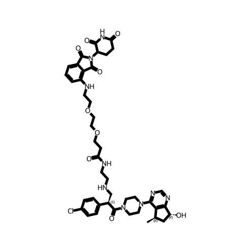 C[C@@H]1C[C@@H](O)c2ncnc(N3CCN(C(=O)[C@H](CNCCNC(=O)CCOCCOCCNc4cccc5c4C(=O)N(C4CCC(=O)NC4=O)C5=O)c4ccc(Cl)cc4)CC3)c21